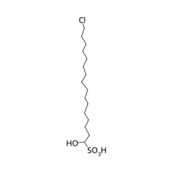 O=S(=O)(O)C(O)CCCCCCCCCCCCCCCCl